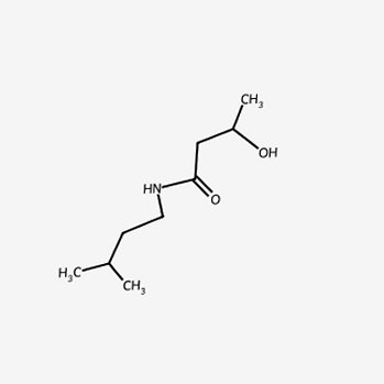 CC(C)CCNC(=O)CC(C)O